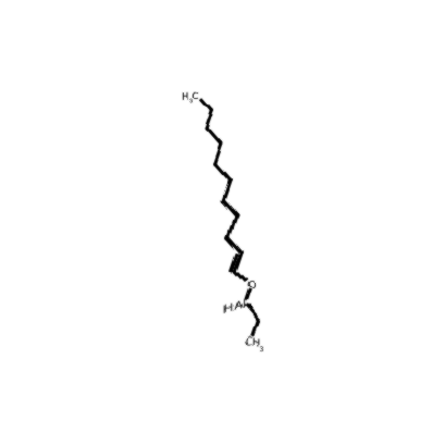 CCCCCCCCCC=C[O][AlH][CH2]C